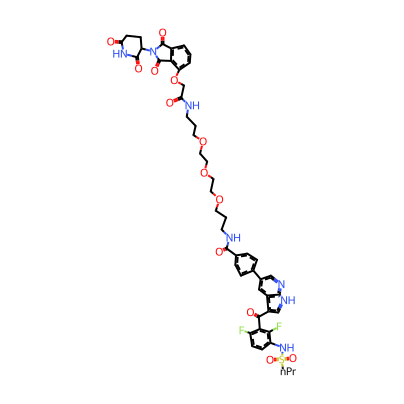 CCCS(=O)(=O)Nc1ccc(F)c(C(=O)c2c[nH]c3ncc(-c4ccc(C(=O)NCCCOCCOCCOCCCNC(=O)COc5cccc6c5C(=O)N(C5CCC(=O)NC5=O)C6=O)cc4)cc23)c1F